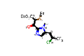 CCOC(=O)C(SCC)C(=O)c1ncc(C=C(Cl)C(F)(F)F)n1C